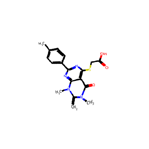 C=C1N(C)C(=O)c2c(SCC(=O)O)nc(-c3ccc(C)cc3)nc2N1C